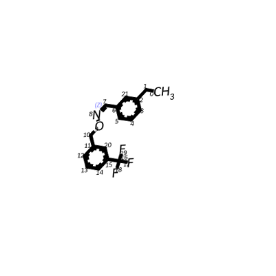 CCc1cccc(/[C]=N\OCc2cccc(C(F)(F)F)c2)c1